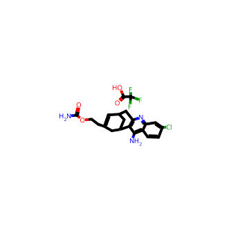 NC(=O)OCCC1=CC2Cc3nc4cc(Cl)ccc4c(N)c3C(C1)C2.O=C(O)C(F)(F)F